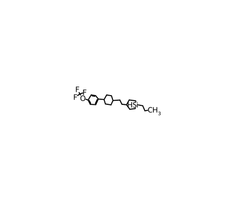 CCC[SiH]1CCC(CCC2CCC(c3ccc(OC(F)(F)F)cc3)CC2)CC1